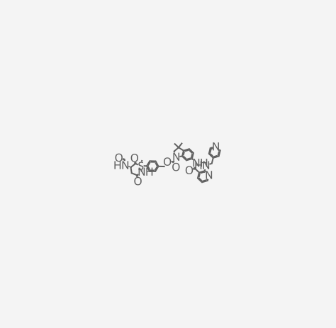 CC1(C)CN(C(=O)OCc2ccc(S3(C)NC(=O)C[C@@H](NC=O)C3=O)cc2)c2cc(NC(=O)c3cccnc3NCc3ccncc3)ccc21